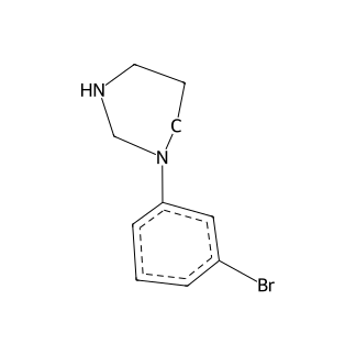 Brc1cccc(N2CCCNC2)c1